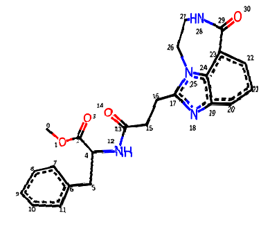 COC(=O)C(Cc1ccccc1)NC(=O)CCc1nc2cccc3c2n1CCNC3=O